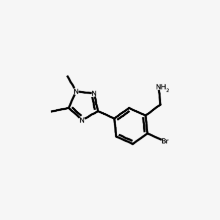 Cc1nc(-c2ccc(Br)c(CN)c2)nn1C